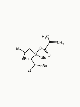 C=C(C)C(=O)O[Si](CC(CC)CCCC)(CC(CC)CCCC)C(C)(C)C